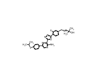 CC(C)Sc1ccc(-c2cnc(N)c(-c3nnc(-c4ccc(CNCC(C)(C)O)cc4F)o3)n2)cc1